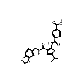 COC(=O)c1ccc(C(=O)Nc2sc(C(C)C)cc2C(=O)NCc2ccc3c(c2)OCO3)cc1